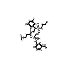 CCCCS(=O)(=O)C(c1cc(F)cc(F)c1)[C@H]([CH]CNCc1cccc(CC)c1)NC(=O)CCN(C)C